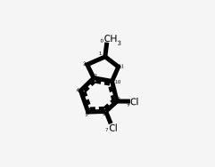 CC1Cc2ccc(Cl)c(Cl)c2C1